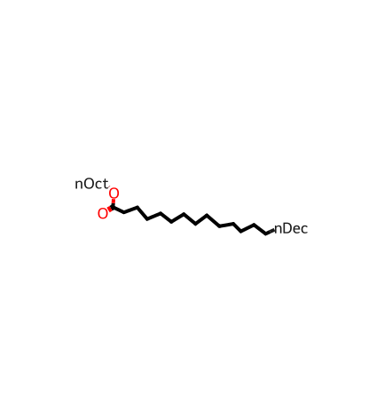 CCCCCCCCCCCCCCCCCCCCCCCC(=O)OCCCCCCCC